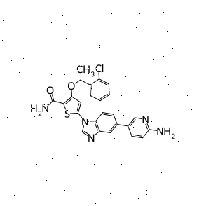 C[C@@H](Oc1cc(-n2cnc3cc(-c4ccc(N)nc4)ccc32)sc1C(N)=O)c1ccccc1Cl